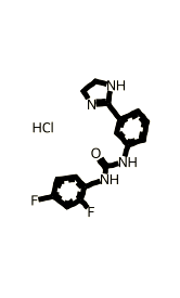 Cl.O=C(Nc1cccc(C2=NCCN2)c1)Nc1ccc(F)cc1F